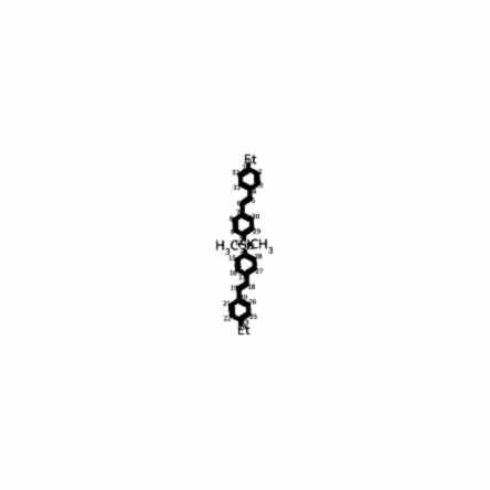 CCc1ccc(/C=C/c2ccc([Si](C)(C)c3ccc(/C=C/c4ccc(CC)cc4)cc3)cc2)cc1